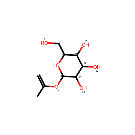 C=C(C)OC1OC(CO)C(O)C(O)C1O